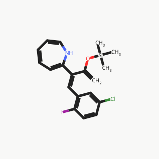 C=C(O[Si](C)(C)C)C(=Cc1cc(Cl)ccc1I)C1=CC=CC=CN1